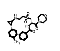 Cc1ccc([C@@H]2CC2NCCS(=O)(=O)C[C@@H](NC(=O)c2ccccc2)C(=O)N2CCOCC2)cc1